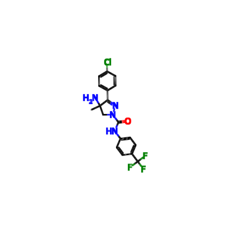 CC1(N)CN(C(=O)Nc2ccc(C(F)(F)F)cc2)N=C1c1ccc(Cl)cc1